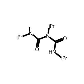 CC(C)NC(=O)N(C(=O)NC(C)C)C(C)C